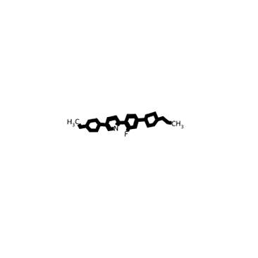 CCCC1CCC(c2ccc(-c3ccc(C4CCC(CC)CC4)cn3)c(F)c2)CC1